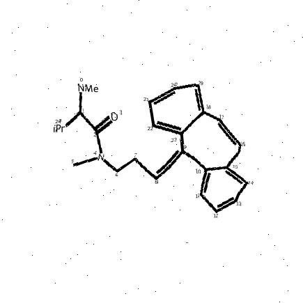 CNC(C(=O)N(C)CCC=C1c2ccccc2C=Cc2ccccc21)C(C)C